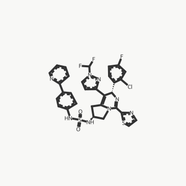 O=S(=O)(Nc1ccc(-c2ccccn2)cc1)N[C@H]1CC2=C(c3ccn(C(F)F)n3)[C@H](c3ccc(F)cc3Cl)N=C(c3nccs3)N2C1